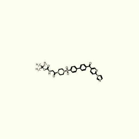 CC(C)(C)OC(=O)NCC(=O)N1CCN(S(=O)(=O)c2ccc(-c3ccc(C(=O)c4ccc(-n5ccnc5)nc4)cc3)cc2)CC1